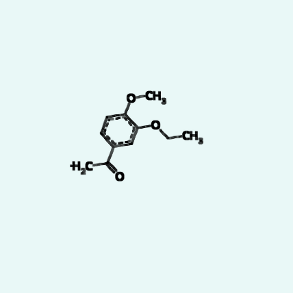 [CH2]C(=O)c1ccc(OC)c(OCC)c1